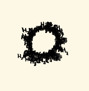 CCCC[C@H]1C(=O)N(C)[C@@H](CCCC)C(=O)N[C@@H](CCC(=O)O)C(=O)NC(C(=O)NCC(N)=O)CSCC(=O)N[C@@H](Cc2ccccc2)C(=O)N(C)[C@@H](C)C(=O)N[C@@H](CC(N)=O)C(=O)N2CCC[C@H]2C(=O)N[C@@H](Cc2cnc[nH]2)C(=O)N[C@@H](CC(C)C)C(=O)N(C)CC(=O)N[C@@H](Cc2c[nH]c3ccccc23)C(=O)N[C@@H](CCCN)C(=O)N[C@@H](Cc2c[nH]c3ccccc23)C(=O)N1C